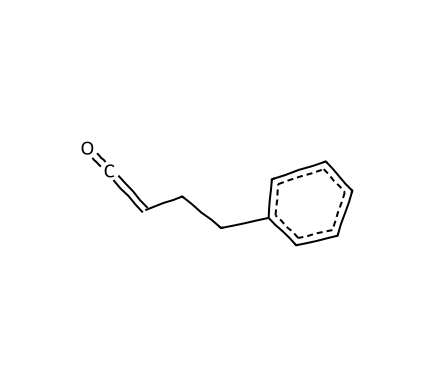 O=C=CCCc1ccccc1